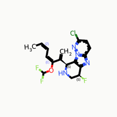 C=C(/C(=C\C=C/C)OC(F)F)[C@@H]1NC[C@H](F)c2nc3ccc(Cl)nn3c21